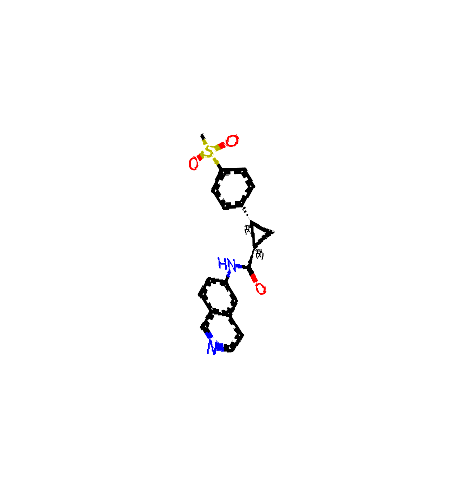 CS(=O)(=O)c1ccc([C@@H]2C[C@H]2C(=O)Nc2ccc3cnccc3c2)cc1